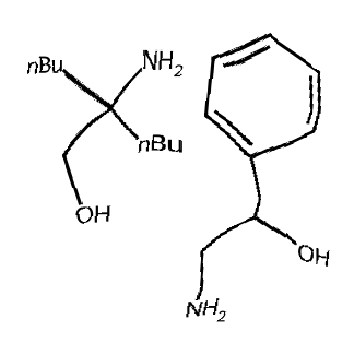 CCCCC(N)(CO)CCCC.NCC(O)c1ccccc1